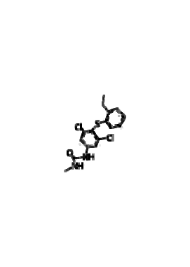 CCc1ccccc1Sc1c(Cl)cc(NC(=O)NC)cc1Cl